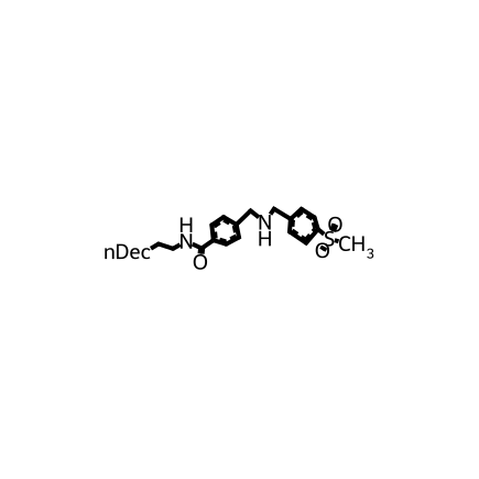 CCCCCCCCCCCCNC(=O)c1ccc(CNCc2ccc(S(C)(=O)=O)cc2)cc1